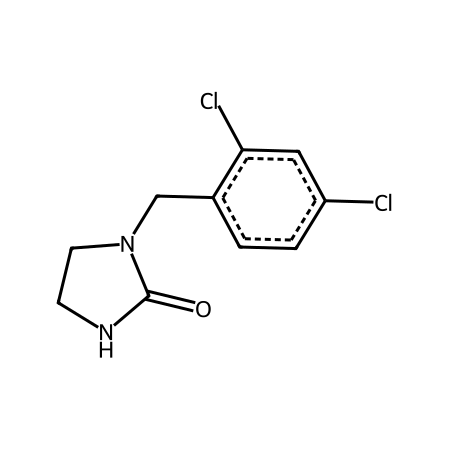 O=C1NCCN1Cc1ccc(Cl)cc1Cl